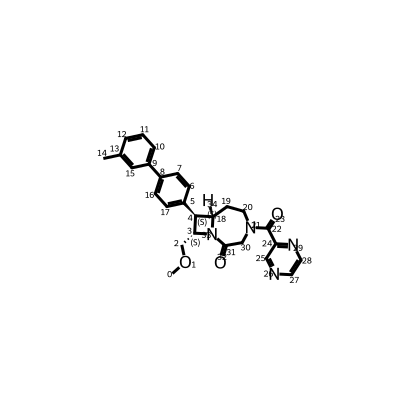 COC[C@@H]1[C@@H](c2ccc(-c3cccc(C)c3)cc2)[C@@H]2CCN(C(=O)c3cnccn3)CC(=O)N12